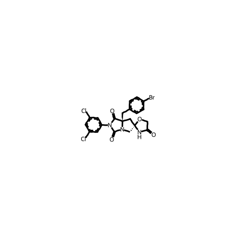 O=C1CO[C@@]2(CN3C(=O)N(c4cc(Cl)cc(Cl)c4)C(=O)[C@]3(Cc3ccc(Br)cc3)C2)N1